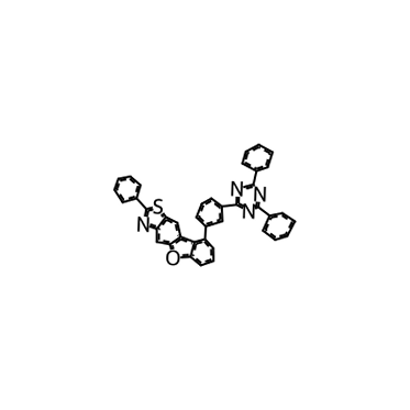 c1ccc(-c2nc(-c3ccccc3)nc(-c3cccc(-c4cccc5oc6cc7nc(-c8ccccc8)sc7cc6c45)c3)n2)cc1